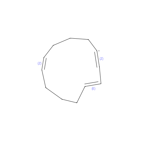 [C]1=C\C=C\CCC/C=C\CCC/1